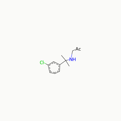 CC(=O)CNC(C)(C)c1cccc(Cl)c1